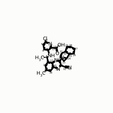 Cc1cc([C@@H](C)Nc2ccc(Cl)nc2C(=O)O)c2nc(N3C4CCC3c3ccccc34)c(C#N)nc2c1